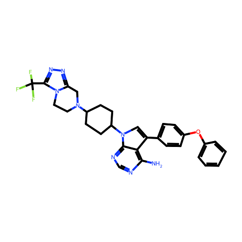 Nc1ncnc2c1c(-c1ccc(Oc3ccccc3)cc1)cn2C1CCC(N2CCn3c(nnc3C(F)(F)F)C2)CC1